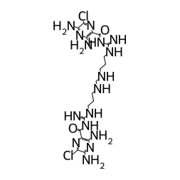 N=C(NCCCNCNCCCNC(=N)NC(=O)c1nc(Cl)c(N)nc1N)NC(=O)c1nc(Cl)c(N)nc1N